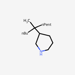 CCCCCC(C)(CCCC)C1CCCNC1